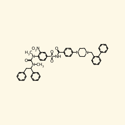 CN(C(=O)N(C)C(Cc1ccccc1)c1ccccc1)c1ccc(S(=O)(=O)NC(=O)c2ccc(N3CCN(Cc4ccccc4-c4ccccc4)CC3)cc2)cc1[N+](=O)[O-]